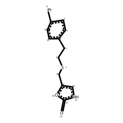 CC(C)c1ccc(CCSCc2c[nH]c(=O)o2)cc1